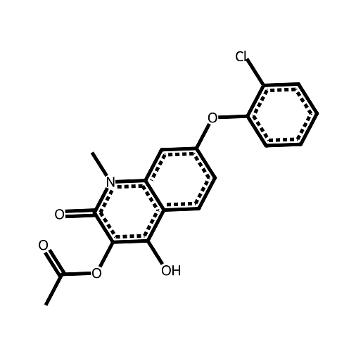 CC(=O)Oc1c(O)c2ccc(Oc3ccccc3Cl)cc2n(C)c1=O